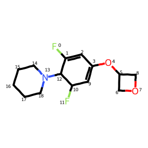 FC1=CC(OC2COC2)=CC(F)C1N1CCCCC1